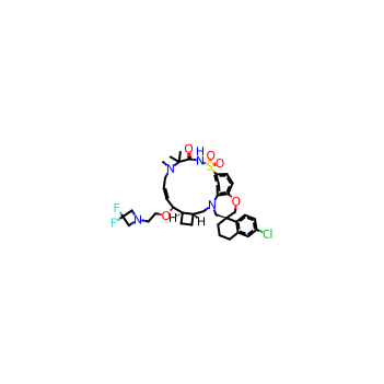 CN1CC=C[C@H](OCCN2CC(F)(F)C2)[C@@H]2CC[C@H]2CN2C[C@@]3(CCCc4cc(Cl)ccc43)COc3ccc(cc32)S(=O)(=O)NC(=O)C1(C)C